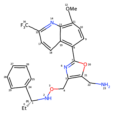 CC[C@@H](NOCc1nc(-c2ccc(OC)c3nc(C(F)(F)F)ccc23)oc1CN)c1ccccc1